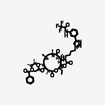 CC[C@H](O[C@H]1[C@H](C)C[C@@H](C)C[C@@H](C)C(=O)[C@H](C)[C@@H]2N(CCCCn3cc(-c4cccc(NC(=O)C(F)(F)F)c4)nn3)C(=O)O[C@]2(C)[C@@H](CC)OC(=O)[C@@H]1C)O[C@@H](C)[C@@H](C)OC(=O)c1ccccc1